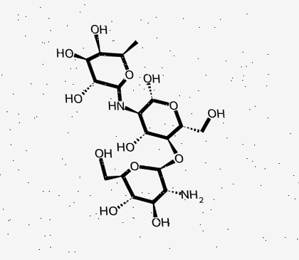 C[C@H]1OC(N[C@@H]2[C@@H](O)[C@H](O[C@@H]3O[C@H](CO)[C@@H](O)[C@H](O)[C@H]3N)[C@@H](CO)O[C@H]2O)[C@H](O)[C@@H](O)[C@H]1O